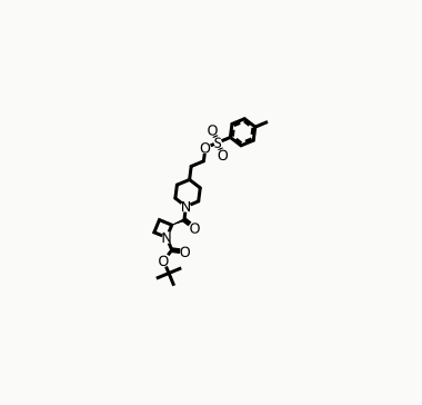 Cc1ccc(S(=O)(=O)OCCC2CCN(C(=O)[C@@H]3CCN3C(=O)OC(C)(C)C)CC2)cc1